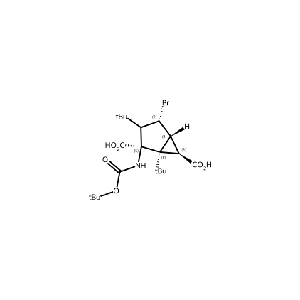 CC(C)(C)OC(=O)N[C@@]1(C(=O)O)C(C(C)(C)C)[C@H](Br)[C@@H]2[C@@H](C(=O)O)[C@]21C(C)(C)C